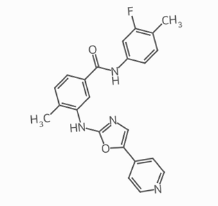 Cc1ccc(NC(=O)c2ccc(C)c(Nc3ncc(-c4ccncc4)o3)c2)cc1F